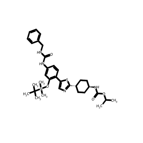 CC(C)OC(=O)N[C@H]1CC[C@H](c2ncc(-c3ccc(NC(=O)NCc4ccccc4)cc3O[Si](C)(C)C(C)(C)C)s2)CC1